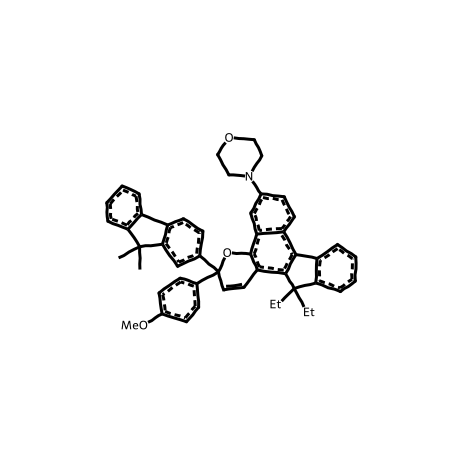 CCC1(CC)c2ccccc2-c2c1c1c(c3cc(N4CCOCC4)ccc23)OC(c2ccc(OC)cc2)(c2ccc3c(c2)C(C)(C)c2ccccc2-3)C=C1